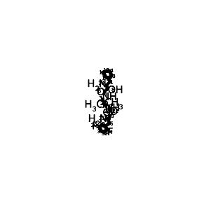 CC(C)(CNC(=O)C(O)C(N)Cc1ccccc1)CNS(=O)(=O)CC(N)Cc1cc(F)ccc1F